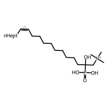 CCCCCCC/C=C\CCCCCCCCCC(O)(C[N+](C)(C)C)P(=O)(O)O